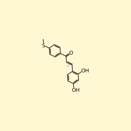 CSc1ccc(C(=O)/C=C/c2ccc(O)cc2O)cc1